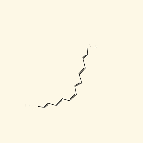 CCCCCCCCC/C=C/C=C/C=C/C=C\C=C\C=C\C(=O)O